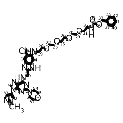 Cn1cc(-n2cnc3c(NCc4nc5cc(Cl)c(NCCOCCOCCOCCOCCNC(=O)OCc6ccccc6)cc5[nH]4)nc(N4CCOCC4)nc32)cn1